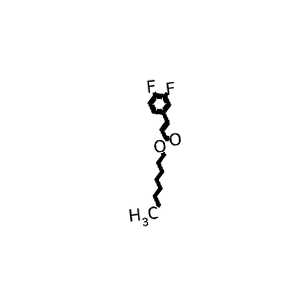 CCCCCCCCOC(=O)/C=C/c1ccc(F)c(F)c1